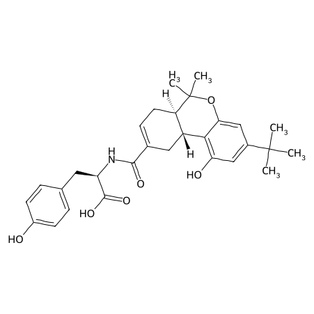 CC(C)(C)c1cc(O)c2c(c1)OC(C)(C)[C@@H]1CC=C(C(=O)N[C@H](Cc3ccc(O)cc3)C(=O)O)C[C@@H]21